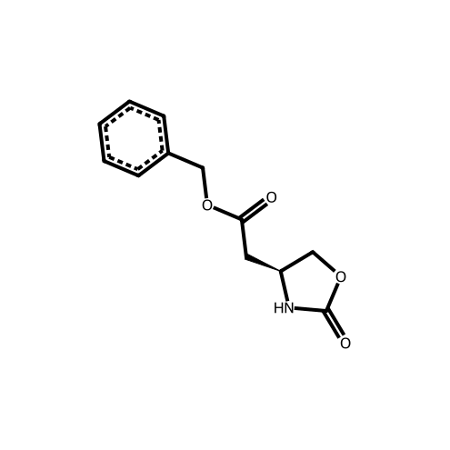 O=C(C[C@H]1COC(=O)N1)OCc1ccccc1